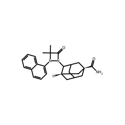 CC1(C)C(=O)N(C2C3CC4C[C@H]2C[C@@](C(N)=O)(C4)C3)N1c1cccc2ccccc12